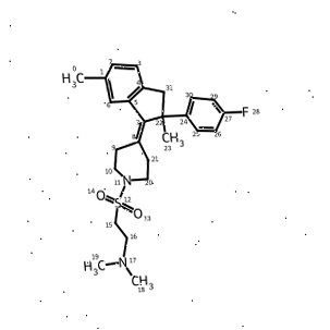 Cc1ccc2c(c1)C(=C1CCN(S(=O)(=O)CCN(C)C)CC1)C(C)(c1ccc(F)cc1)C2